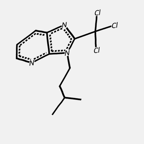 CC(C)CCn1c(C(Cl)(Cl)Cl)nc2cccnc21